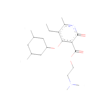 CCc1c(C)[nH]c(=O)c(C(=O)OCCN(C)C)c1OC1CC(C)CC(C)C1